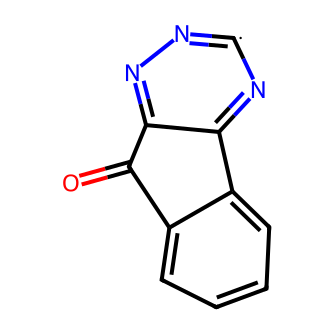 O=C1c2ccccc2-c2n[c]nnc21